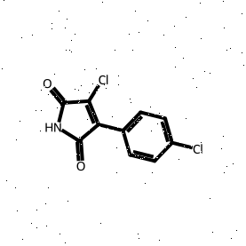 O=C1NC(=O)C(c2ccc(Cl)cc2)=C1Cl